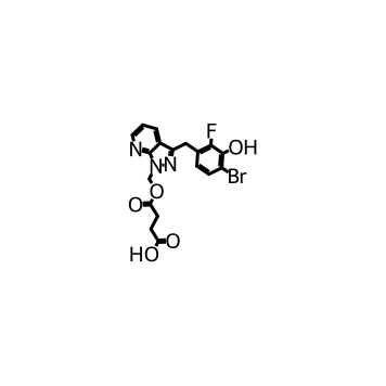 O=C(O)CCC(=O)OCn1nc(Cc2ccc(Br)c(O)c2F)c2cccnc21